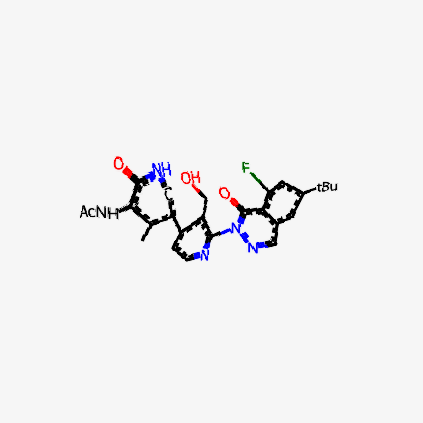 CC(=O)Nc1c(C)c(-c2ccnc(-n3ncc4cc(C(C)(C)C)cc(F)c4c3=O)c2CO)c[nH]c1=O